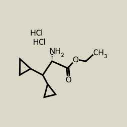 CCOC(=O)[C@@H](N)C(C1CC1)C1CC1.Cl.Cl